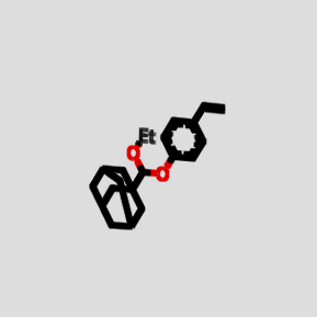 C=Cc1ccc(OC(OCC)C23CC4CC(CC(C4)C2)C3)cc1